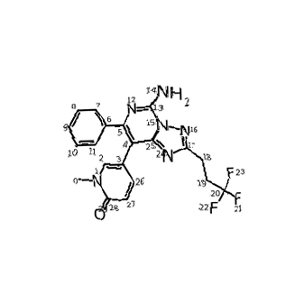 Cn1cc(-c2c(-c3ccccc3)nc(N)n3nc(CCC(F)(F)F)nc23)ccc1=O